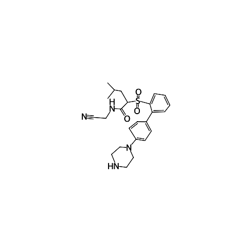 CC(C)CC(C(=O)NCC#N)S(=O)(=O)c1ccccc1-c1ccc(N2CCNCC2)cc1